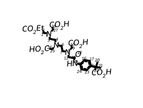 CCOC(=O)CN(CCN(CCN(CC(=O)O)CC(=O)Nc1ccc(C(C)(C)C(=O)O)cc1)CC(=O)O)CC(=O)O